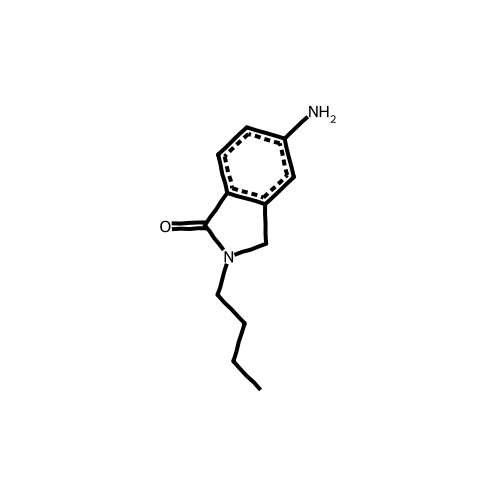 CCCCN1Cc2cc(N)ccc2C1=O